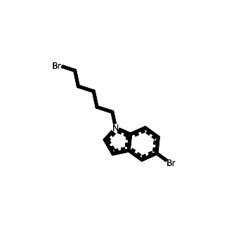 BrCCCCCn1ccc2cc(Br)ccc21